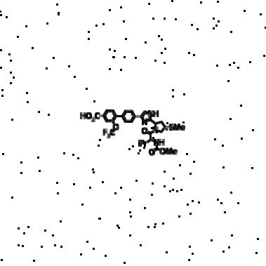 COC(=O)NC(C(=O)N1CC(SC)CC1c1nc(-c2ccc(-c3ccc(C(=O)O)cc3OC(F)(F)F)cc2)c[nH]1)C(C)C